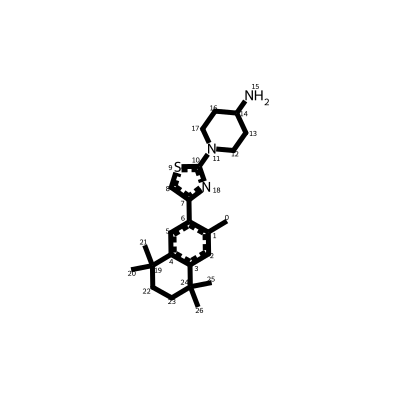 Cc1cc2c(cc1-c1csc(N3CCC(N)CC3)n1)C(C)(C)CCC2(C)C